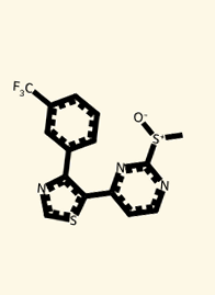 C[S+]([O-])c1nccc(-c2scnc2-c2cccc(C(F)(F)F)c2)n1